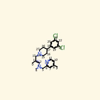 C/C(=C\N(C)Cc1cc(C)ccn1)CN1CCC(c2cc(Cl)cc(Cl)c2)CC1